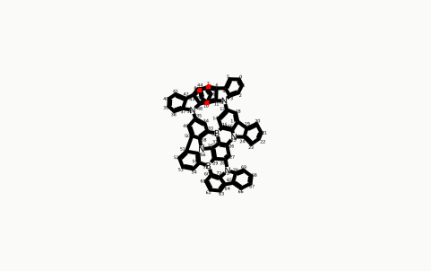 c1ccc2c(c1)c1ccccc1n2-c1cc2c3c(c1)c1ccccc1n3-c1cc3c4c5c1B2c1cc(-n2c6ccccc6c6ccccc62)cc2c6cccc(c6n-5c12)B4c1cccc2c4ccccc4n-3c12